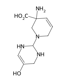 NC1(C(=O)O)C=CCN(C2NC=C(O)CN2)C1